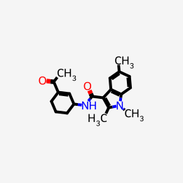 CC(=O)C1=CC(NC(=O)c2c(C)n(C)c3ccc(C)cc23)CCC1